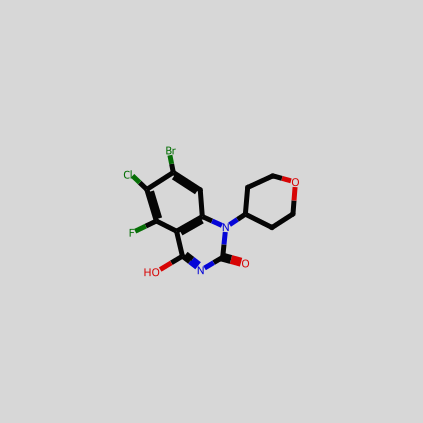 O=c1nc(O)c2c(F)c(Cl)c(Br)cc2n1C1CCOCC1